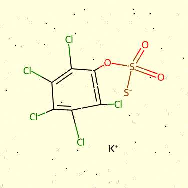 O=S(=O)([S-])Oc1c(Cl)c(Cl)c(Cl)c(Cl)c1Cl.[K+]